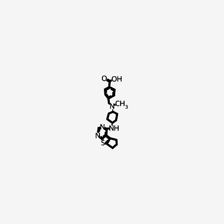 CN(Cc1ccc(C(=O)O)cc1)[C@H]1CC[C@H](Nc2ncnc3sc4c(c23)CCC4)CC1